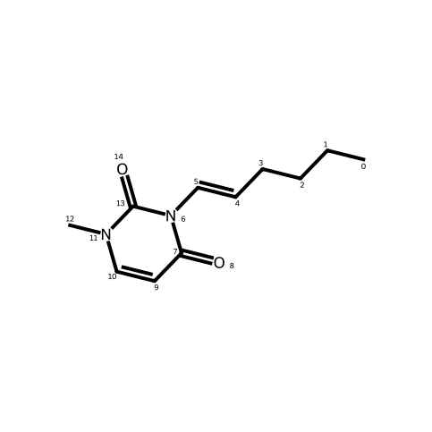 CCCCC=Cn1c(=O)ccn(C)c1=O